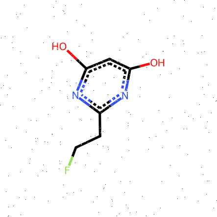 Oc1cc(O)nc(CCF)n1